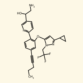 CCCC#Cc1ccc(-c2ccc(C(O)CN)cn2)c(Oc2cc(C3CC3)nn2CC(F)(F)F)c1